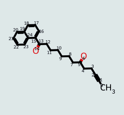 CC#CCCC(=O)CCCCCCC(=O)c1cccc2ccccc12